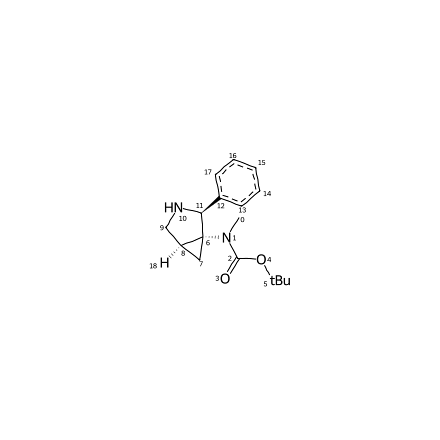 CN(C(=O)OC(C)(C)C)[C@]12C[C@H]1CN[C@H]2c1ccccc1